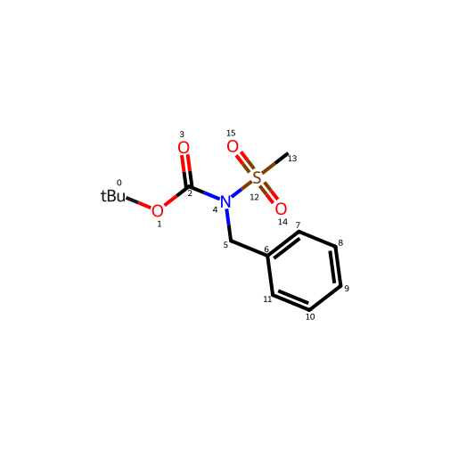 CC(C)(C)OC(=O)N(Cc1ccccc1)S(C)(=O)=O